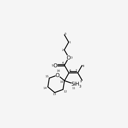 CCCOC(=O)C(=C(C)C)C1([SiH3])CCCCO1